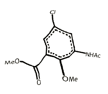 COC(=O)c1cc(Cl)cc(NC(C)=O)c1OC